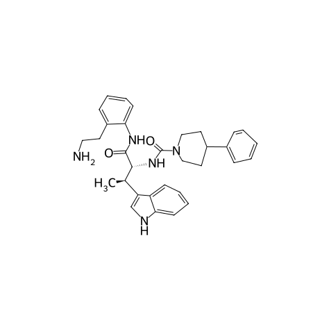 C[C@H](c1c[nH]c2ccccc12)[C@@H](NC(=O)N1CCC(c2ccccc2)CC1)C(=O)Nc1ccccc1CCN